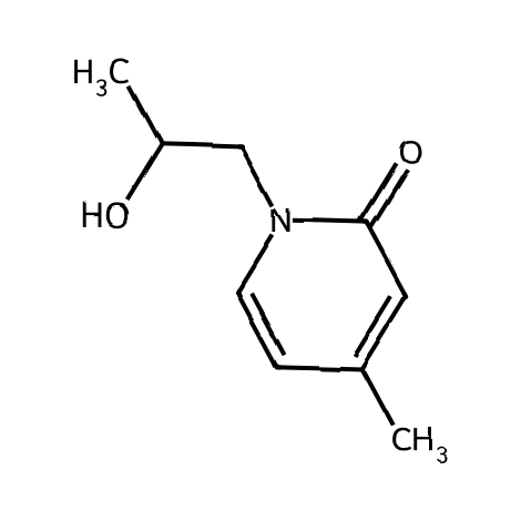 Cc1ccn(CC(C)O)c(=O)c1